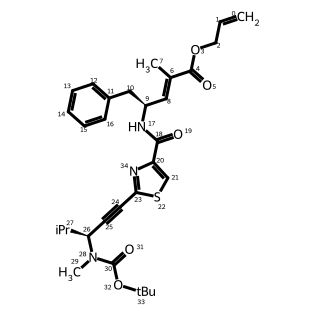 C=CCOC(=O)/C(C)=C/[C@H](Cc1ccccc1)NC(=O)c1csc(C#C[C@H](C(C)C)N(C)C(=O)OC(C)(C)C)n1